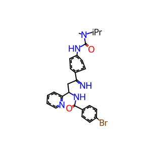 CC(C)N(C)C(=O)Nc1ccc(C(=N)CC(NC(=O)c2ccc(Br)cc2)c2ccccn2)cc1